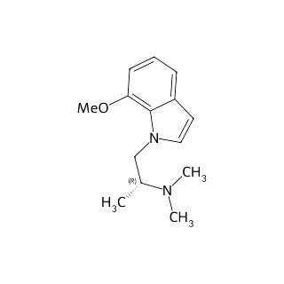 COc1cccc2ccn(C[C@@H](C)N(C)C)c12